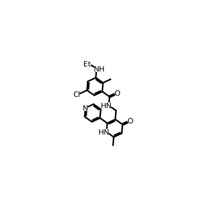 CCNc1cc(Cl)cc(C(=O)NCc2c(-c3ccncc3)[nH]c(C)cc2=O)c1C